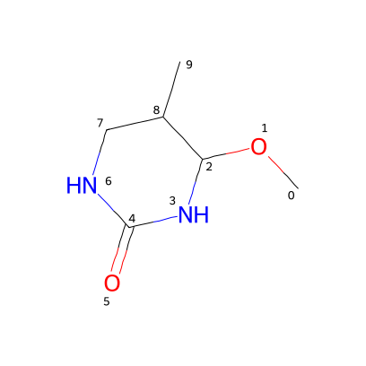 COC1NC(=O)NCC1C